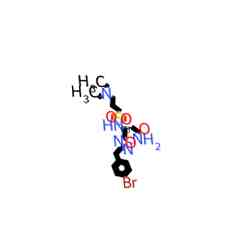 CCN(CC)CCCS(=O)(=O)N[C@H](CC(N)=O)c1nc(Cc2ccc(Br)cc2)no1